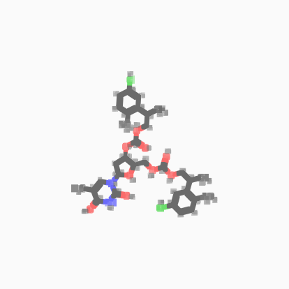 Cc1cn([C@H]2C[C@H](OC(=O)OCC(C)c3cc(Cl)ccc3[N+](=O)[O-])[C@@H](COC(=O)OCC(C)c3cc(Cl)ccc3[N+](=O)[O-])O2)c(=O)[nH]c1=O